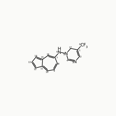 FC(F)(F)C1=CN=CN(Nc2cccc3cccc-3c2)C1